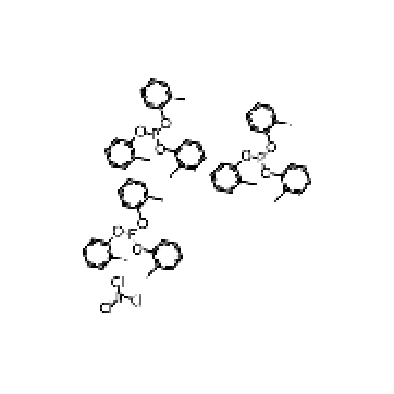 Cc1ccccc1OP(Oc1ccccc1C)Oc1ccccc1C.Cc1ccccc1OP(Oc1ccccc1C)Oc1ccccc1C.Cc1ccccc1OP(Oc1ccccc1C)Oc1ccccc1C.[Cl][Ir]([Cl])[Cl]